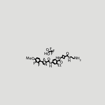 CCc1cc(NC(=O)c2ncc(-c3ccc(OC)c(F)c3F)n2C)ccc1C(=O)NC1CC(C(=O)NCCN)C1.O=C(O)C(F)(F)F